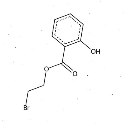 O=C(OCCBr)c1ccccc1O